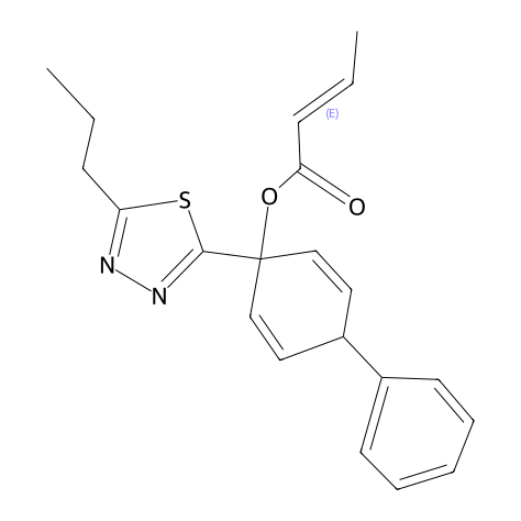 C/C=C/C(=O)OC1(c2nnc(CCC)s2)C=CC(c2ccccc2)C=C1